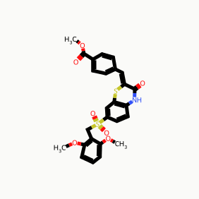 COC(=O)c1ccc(/C=C2\Sc3cc(S(=O)(=O)Cc4c(OC)cccc4OC)ccc3NC2=O)cc1